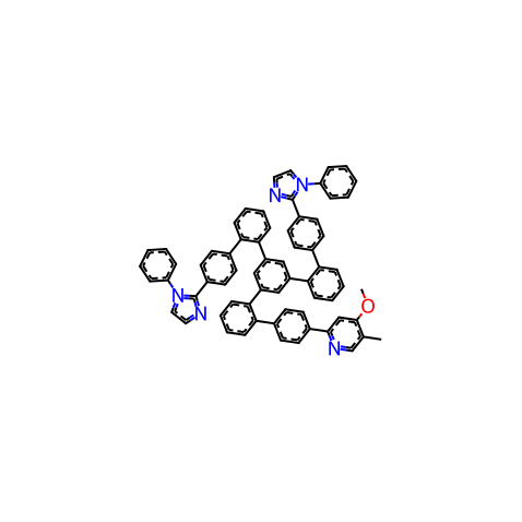 COc1cc(-c2ccc(-c3ccccc3-c3cc(-c4ccccc4-c4ccc(-c5nccn5-c5ccccc5)cc4)cc(-c4ccccc4-c4ccc(-c5nccn5-c5ccccc5)cc4)c3)cc2)ncc1C